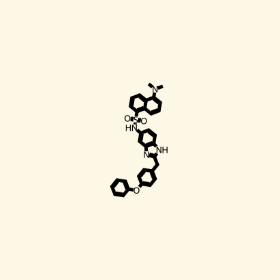 CN(C)c1cccc2c(S(=O)(=O)Nc3ccc4[nH]c(Cc5ccc(Oc6ccccc6)cc5)nc4c3)cccc12